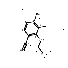 CCOc1c(C#N)ccc(F)c1C